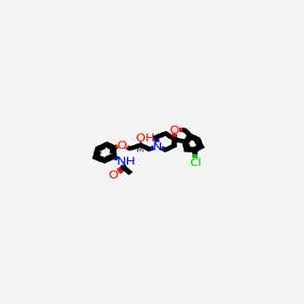 CC(=O)Nc1ccccc1OC[C@H](O)CN1CCC2(CC1)OCc1ccc(Cl)cc12